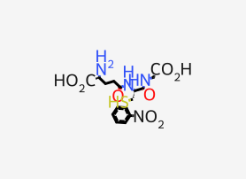 N[C@@H](CCC(=O)N[C@@H](CS)C(=O)NCC(=O)O)C(=O)O.O=[N+]([O-])c1ccccc1